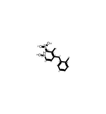 CC1=C(Cc2ccccc2C)C=C[NH+]([O-])C1=S(=O)=O